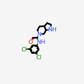 O=CC(Nc1cc(Cl)cc(Cl)c1)N1CCC2CCNC2C1